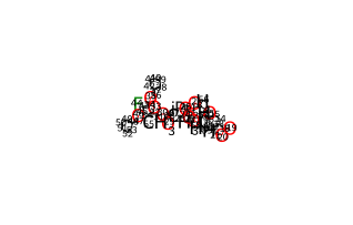 CC(C)[C@]12O[C@H]1[C@@H]1O[C@]13[C@]1(O[C@H]1C[C@H]1C4=C(CC[C@@]13C)C(=O)OC4)[C@@H]2OC(=O)CCC(=O)OC[C@H]1OC(OCc2ccccc2)[C@H](F)[C@@H](OCc2ccccc2)[C@@H]1C